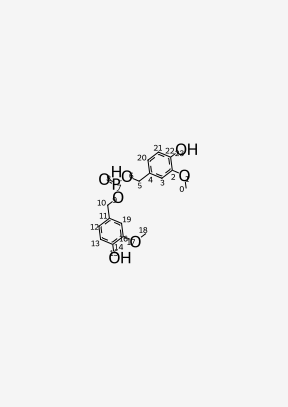 COc1cc(CO[PH](=O)OCc2ccc(O)c(OC)c2)ccc1O